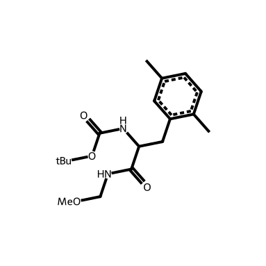 COCNC(=O)C(Cc1cc(C)ccc1C)NC(=O)OC(C)(C)C